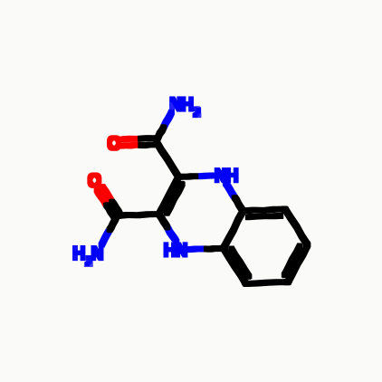 NC(=O)C1=C(C(N)=O)Nc2ccccc2N1